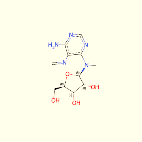 C=Nc1c(N)ncnc1N(C)[C@@H]1O[C@H](CO)[C@@H](O)[C@H]1O